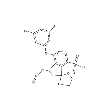 [N-]=[N+]=NC1CC2(OCCO2)c2c(S(=O)(=O)C(F)(F)F)ccc(Oc3cc(F)cc(Br)c3)c21